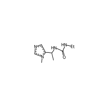 CCNC(=O)NC(C)c1cncn1C